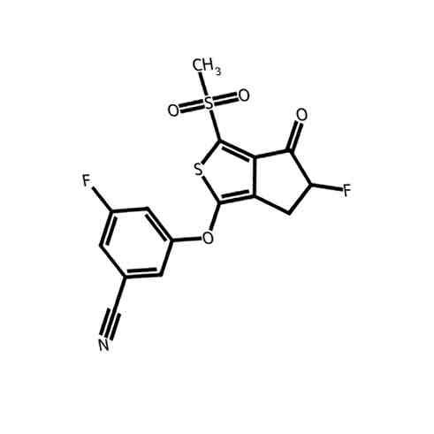 CS(=O)(=O)c1sc(Oc2cc(F)cc(C#N)c2)c2c1C(=O)C(F)C2